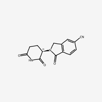 N#Cc1ccc2c(c1)CN([C@@H]1CCC(=O)NC1=O)C2=O